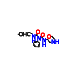 O=[C]CNC(=O)N(C(=O)NC1CNCCO1)c1ccccc1